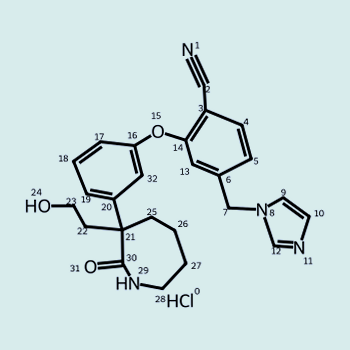 Cl.N#Cc1ccc(Cn2ccnc2)cc1Oc1cccc(C2(CCO)CCCCNC2=O)c1